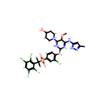 COC1C(Nc2cc(C)n[nH]2)=NC(Sc2ccc(S(=O)(=O)C(C)(C)c3c(F)c(F)cc(F)c3F)cc2F)NC1N1CCC(O)CC1